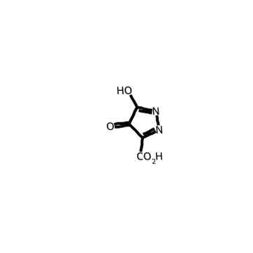 O=C(O)C1=NN=C(O)C1=O